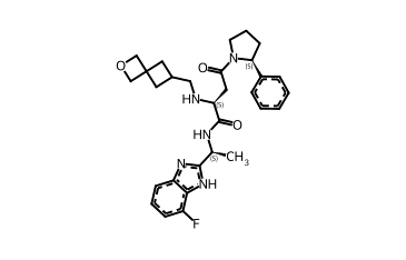 C[C@H](NC(=O)[C@H](CC(=O)N1CCC[C@H]1c1ccccc1)NCC1CC2(COC2)C1)c1nc2cccc(F)c2[nH]1